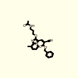 CC(=O)NCCCOc1nc2c(C)cccn2c1/C=C(/C#N)C(=O)OCc1ccccc1